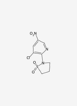 O=[N+]([O-])c1cnc(N2CCCS2(=O)=O)c(Cl)c1